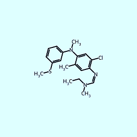 CCN(C)/C=N\c1cc(C)c(N(C)c2cccc(SC)c2)cc1Cl